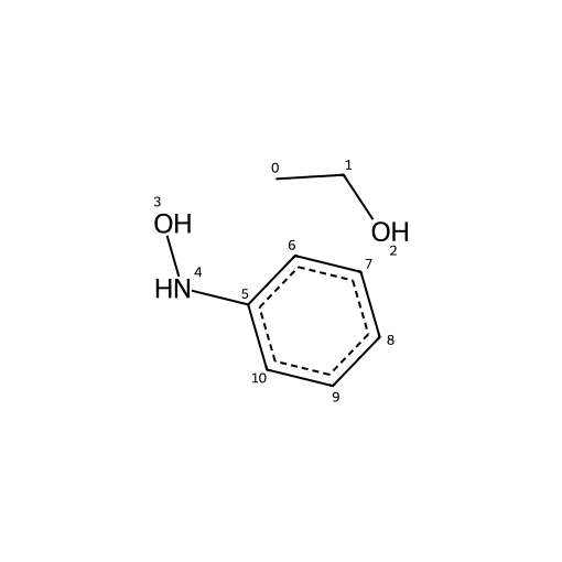 CCO.ONc1ccccc1